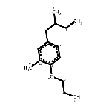 CCC(C)Cc1ccc(OCCO)c(C)c1